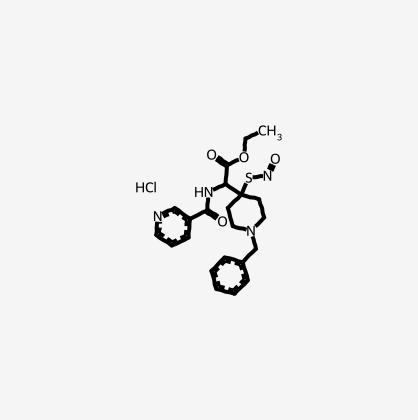 CCOC(=O)C(NC(=O)c1cccnc1)C1(SN=O)CCN(Cc2ccccc2)CC1.Cl